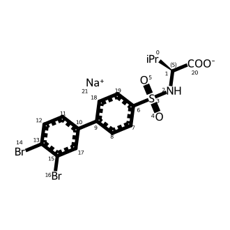 CC(C)[C@H](NS(=O)(=O)c1ccc(-c2ccc(Br)c(Br)c2)cc1)C(=O)[O-].[Na+]